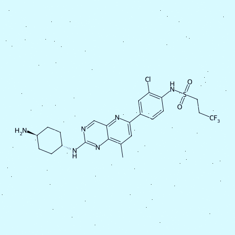 Cc1cc(-c2ccc(NS(=O)(=O)CCC(F)(F)F)c(Cl)c2)nc2cnc(N[C@H]3CC[C@H](N)CC3)nc12